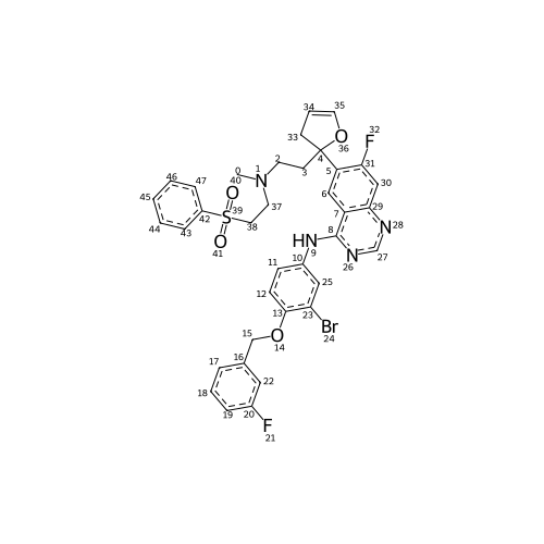 CN(CCC1(c2cc3c(Nc4ccc(OCc5cccc(F)c5)c(Br)c4)ncnc3cc2F)CC=CO1)CCS(=O)(=O)c1ccccc1